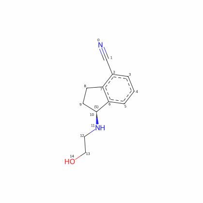 N#Cc1cccc2c1CC[C@@H]2NCCO